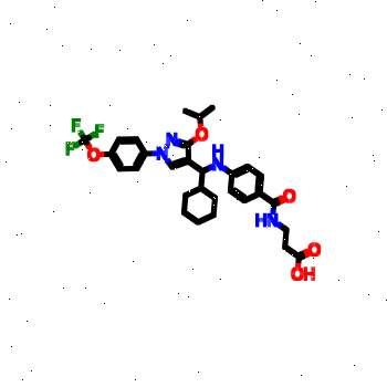 CC(C)Oc1nn(-c2ccc(OC(F)(F)F)cc2)cc1C(Nc1ccc(C(=O)NCCC(=O)O)cc1)C1CCCCC1